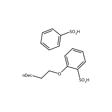 CCCCCCCCCCCCOc1ccccc1S(=O)(=O)O.O=S(=O)(O)c1ccccc1